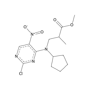 COC(=O)C(C)CN(c1nc(Cl)ncc1[N+](=O)[O-])C1CCCC1